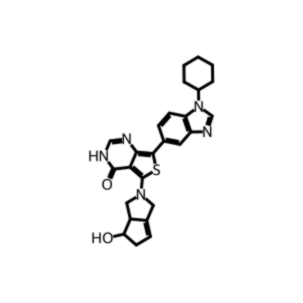 O=c1[nH]cnc2c(-c3ccc4c(c3)ncn4C3CCCCC3)sc(N3CC4=CCC(O)C4C3)c12